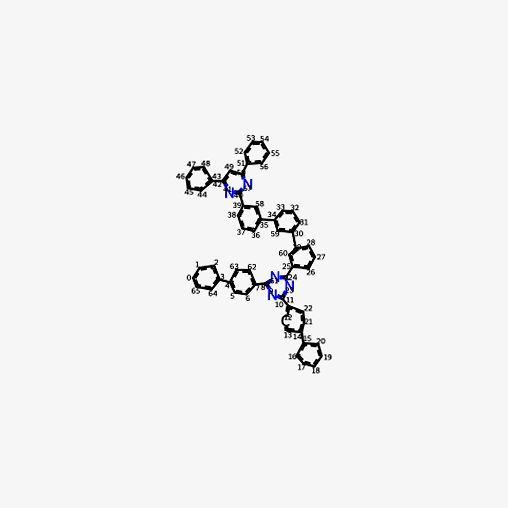 c1ccc(-c2ccc(-c3nc(-c4ccc(-c5ccccc5)cc4)nc(-c4cccc(-c5cccc(-c6cccc(-c7nc(-c8ccccc8)cc(-c8ccccc8)n7)c6)c5)c4)n3)cc2)cc1